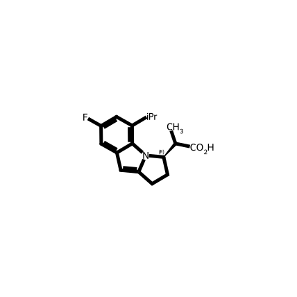 CC(C)c1cc(F)cc2cc3n(c12)[C@@H](C(C)C(=O)O)CC3